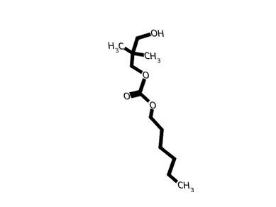 CCCCCCOC(=O)OCC(C)(C)CO